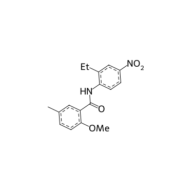 CCc1cc([N+](=O)[O-])ccc1NC(=O)c1cc(C)ccc1OC